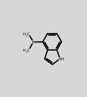 CB(C)c1cccc2[nH]ccc12